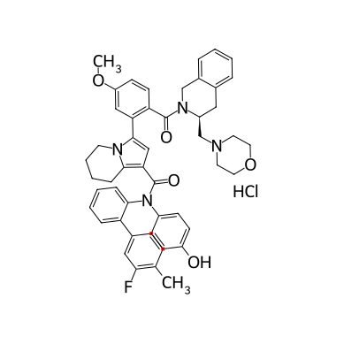 COc1ccc(C(=O)N2Cc3ccccc3C[C@H]2CN2CCOCC2)c(-c2cc(C(=O)N(c3ccc(O)cc3)c3ccccc3-c3ccc(C)c(F)c3)c3n2CCCC3)c1.Cl